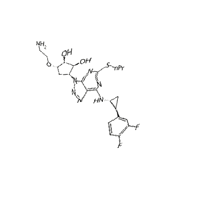 CCCSc1nc(N[C@@H]2C[C@H]2c2ccc(F)c(F)c2)c2nnn([C@H]3C[C@H](OCCN)[C@@H](O)[C@H]3O)c2n1